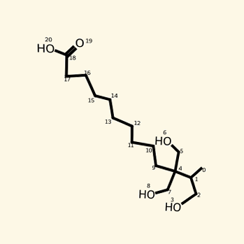 CC(CO)C(CO)(CO)CCCCCCCCCC(=O)O